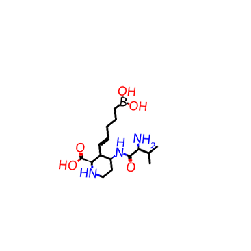 CC(C)[C@H](N)C(=O)N[C@H]1CCN[C@@H](C(=O)O)C1/C=C/CCCB(O)O